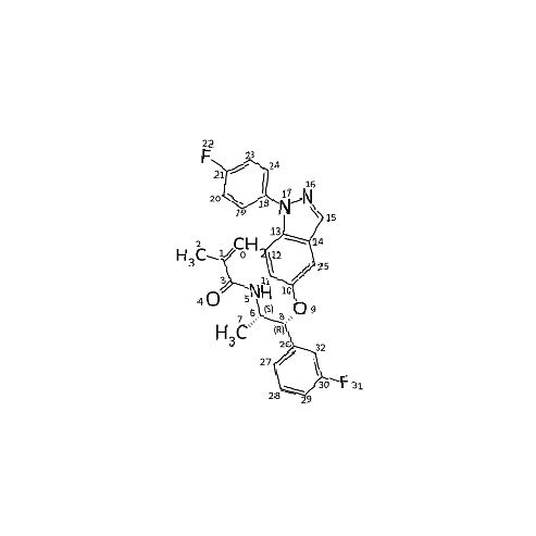 C=C(C)C(=O)N[C@@H](C)[C@H](Oc1ccc2c(cnn2-c2ccc(F)cc2)c1)c1cccc(F)c1